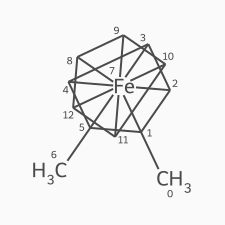 C[C]12[CH]3[CH]4[CH]5[C]1(C)[Fe]43521678[CH]2[CH]1[CH]6[CH]7[CH]28